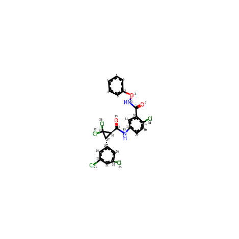 O=C(NOc1ccccc1)c1cc(NC(=O)[C@H]2[C@H](c3cc(Cl)cc(Cl)c3)C2(Cl)Cl)ccc1Cl